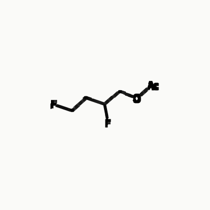 CC(=O)OCC(F)CCF